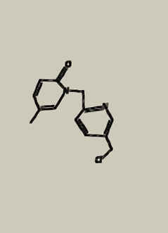 Cc1ccc(=O)n(Cc2ccc(CCl)cn2)c1